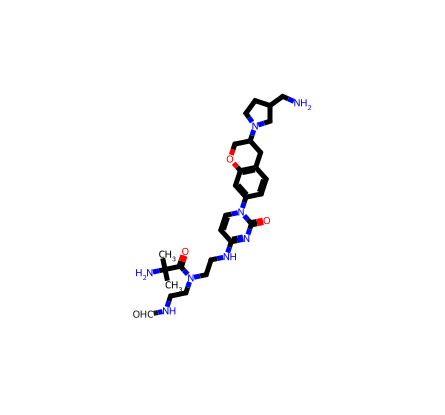 CC(C)(N)C(=O)N(CCNC=O)CCNc1ccn(-c2ccc3c(c2)OCC(N2CCC(CN)C2)C3)c(=O)n1